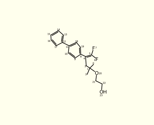 CC(C)(CC(=C(F)F)c1ccc(-c2ccccc2)cc1)OCCO